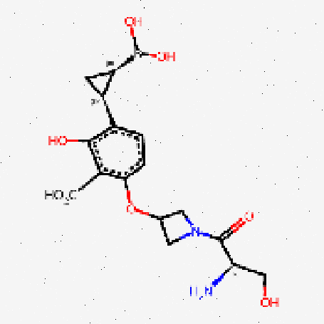 N[C@H](CO)C(=O)N1CC(Oc2ccc([C@H]3C[C@H]3B(O)O)c(O)c2C(=O)O)C1